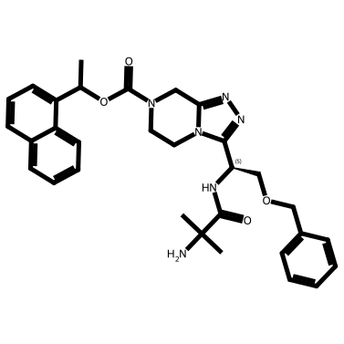 CC(OC(=O)N1CCn2c(nnc2[C@@H](COCc2ccccc2)NC(=O)C(C)(C)N)C1)c1cccc2ccccc12